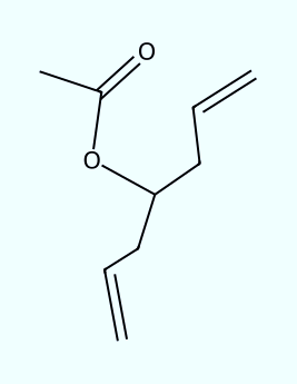 C=CCC(CC=C)OC(C)=O